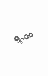 O=c1oc2ccccc2n1CCN1CCc2c([nH]c3ccccc23)C1